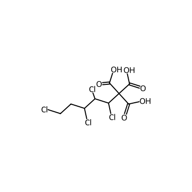 O=C(O)C(C(=O)O)(C(=O)O)C(Cl)C(Cl)C(Cl)CCCl